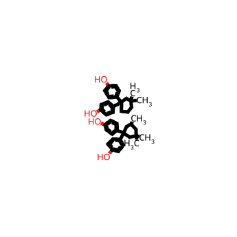 CC1(C)CCCC(c2ccc(O)cc2)(c2ccc(O)cc2)C1.CC1CC(C)(C)CC(c2ccc(O)cc2)(c2ccc(O)cc2)C1